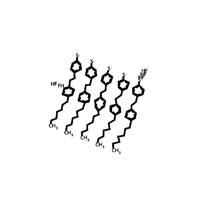 CCCCCCCc1ccc(CCc2ccc([S])cc2)cc1.CCCCCCCc1ccc(CCc2ccc([S])cc2)cc1.CCCCCCCc1ccc(CCc2ccc([S])cc2)cc1.CCCCCCCc1ccc(CCc2ccc([S])cc2)cc1.CCCCCCCc1ccc(CCc2ccc([S])cc2)cc1.F.F.F.F.F